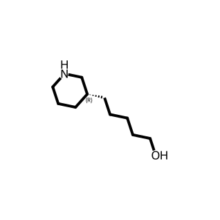 OCCCCC[C@@H]1CCCNC1